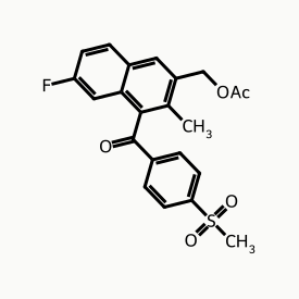 CC(=O)OCc1cc2ccc(F)cc2c(C(=O)c2ccc(S(C)(=O)=O)cc2)c1C